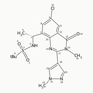 C[C@@H](NS(=O)(=O)C(C)(C)C)c1cc(Cl)cc2c(=O)n(C)c(-c3cnn(C)c3)nc12